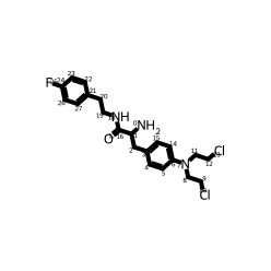 NC(Cc1ccc(N(CCCl)CCCl)cc1)C(=O)NCCc1ccc(F)cc1